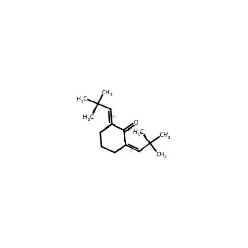 CC(C)(C)/C=C1/CCC/C(=C\C(C)(C)C)C1=O